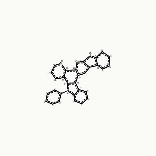 c1ccc(-n2c3ccccc3c3c4cc5c(cc4c4ncccc4c32)sc2ccccc25)cc1